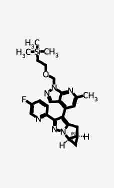 Cc1cc(-c2c(-c3ccc(F)cn3)nn3c2C[C@H]2C[C@H]23)c2cnn(COCC[Si](C)(C)C)c2n1